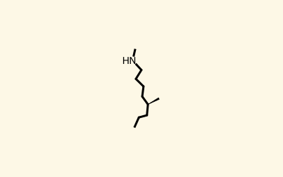 CCC[C@H](C)CCCCNC